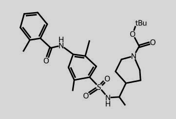 Cc1cc(S(=O)(=O)NC(C)C2CCN(C(=O)OC(C)(C)C)CC2)c(C)cc1NC(=O)c1ccccc1C